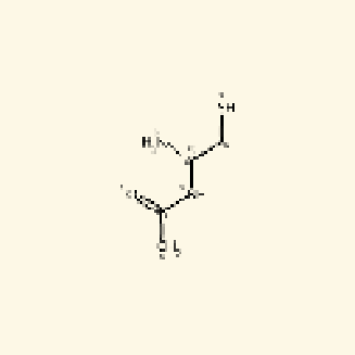 CC(=O)N[C@H](N)CS